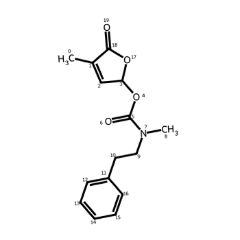 CC1=CC(OC(=O)N(C)CCc2ccccc2)OC1=O